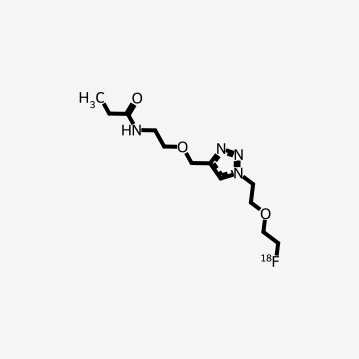 CCC(=O)NCCOCc1cn(CCOCC[18F])nn1